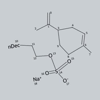 C=C(C)C1CC=C(C)CC1.CCCCCCCCCCCCOS(=O)(=O)[O-].[Na+]